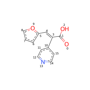 O=C(O)/C(=C/c1ccco1)c1ccncc1